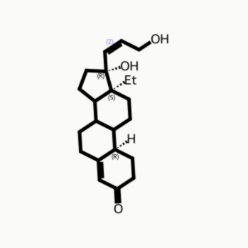 CC[C@]12CCC3C(CCC4=CC(=O)CC[C@@H]43)C1CC[C@@]2(O)/C=C\CO